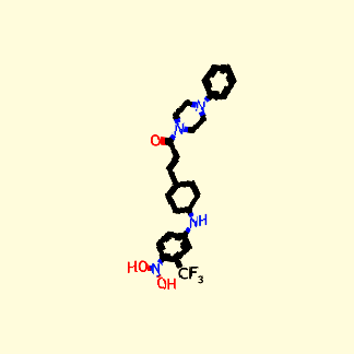 O=C(CCC1CCC(Nc2ccc(N(O)O)c(C(F)(F)F)c2)CC1)N1CCN(c2ccccc2)CC1